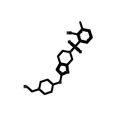 Cc1cccc(S(=O)(=O)N2CCc3cc(OC4CCN(CC(C)C)CC4)sc3C2)c1O